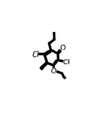 C=C1C(Cl)=C(CCC)C(=O)C(Cl)=C1OCC